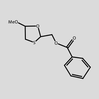 COC1CSC(COC(=O)c2ccccc2)O1